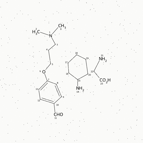 CN(C)CCCOc1ccc(C=O)cc1.NC1CCCCC1.NCC(=O)O